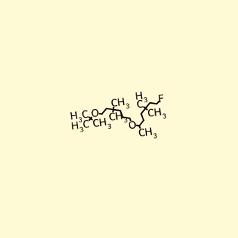 CC(CCC(C)(C)CCF)OCCCC(C)(C)CCOC(C)(C)C